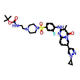 Cc1c(Nc2ccc(S(=O)(=O)N3CCN(CCNC(=O)OC(C)(C)C)CC3)cc2F)nc2ccc(-c3cnn(C4CC4)c3)cn2c1=O